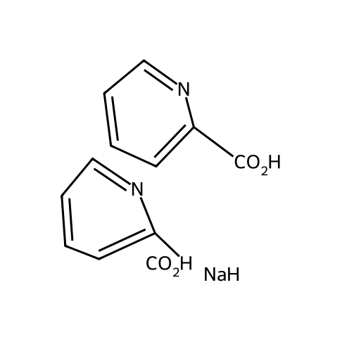 O=C(O)c1ccccn1.O=C(O)c1ccccn1.[NaH]